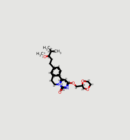 COC(CCc1ccc2c(c1)CCn1c-2cc(OCC2COCCO2)nc1=O)C(C)C